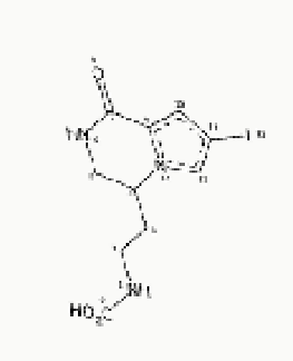 O=C(O)NCCC1CNC(=O)c2cc(I)cn21